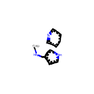 O=CNc1cc[nH]c1.c1ccncc1